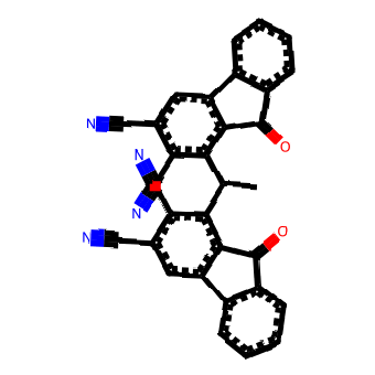 CC(c1c(C#N)c(C#N)cc2c1C(=O)c1ccccc1-2)c1c(C#N)c(C#N)cc2c1C(=O)c1ccccc1-2